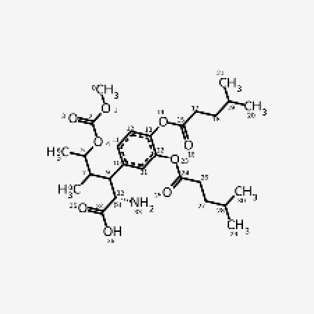 COC(=O)OC(C)C(C)C(c1ccc(OC(=O)CCC(C)C)c(OC(=O)CCC(C)C)c1)[C@H](N)C(=O)O